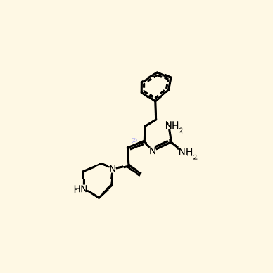 C=C(/C=C(/CCc1ccccc1)N=C(N)N)N1CCNCC1